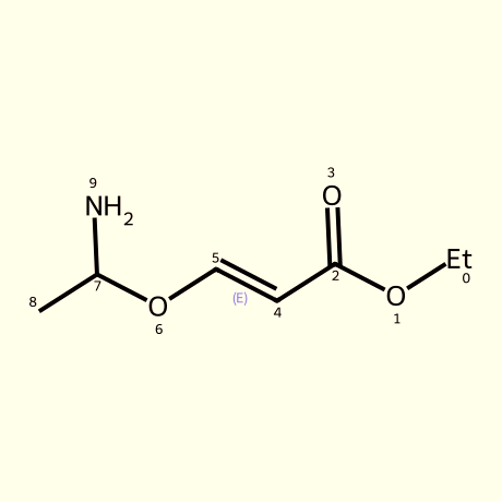 CCOC(=O)/C=C/OC(C)N